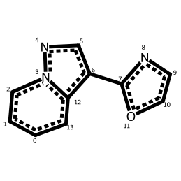 c1ccn2ncc(-c3ncco3)c2c1